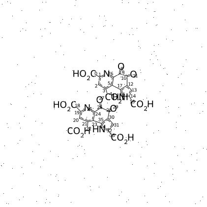 O=C(O)c1cc(C(=O)O)c2c(n1)C(=O)C(=O)c1cc(C(=O)O)[nH]c1-2.O=C(O)c1cc(C(=O)O)c2c(n1)C(=O)C(=O)c1cc(C(=O)O)[nH]c1-2